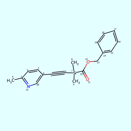 Cc1ccc(C#C[Si](C)(C)C(=O)OCc2ccccc2)cn1